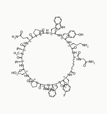 CCCC[C@H]1C(=O)N2CCC[C@@H]2C(=O)N[C@@H](CC(=O)O)C(=O)N[C@@H](C(C)C)C(=O)N(C)[C@@H](C(C)C)C(=O)N[C@@H](CCC(N)=O)C(=O)N2CCC[C@@H]2C(=O)N[C@@H](Cc2c[nH]c3ccccc23)C(=O)N[C@@H](Cc2ccc(O)cc2)C(=O)N[C@@H](CCCN)C(=O)N[C@H](C(=O)NCC(N)=O)CSCC(=O)N[C@@H](Cc2ccc(F)cc2)C(=O)N(C)[C@@H](Cc2ccccc2)C(=O)N1C